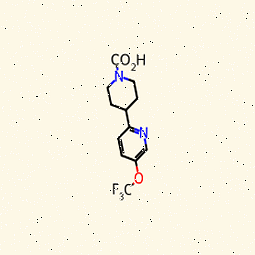 O=C(O)N1CCC(c2ccc(OC(F)(F)F)cn2)CC1